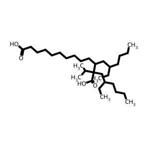 CCCCC(CC)CC(CCCCCCCCCC(=O)O)C(CC(CC)CCCC)(C(=O)O)C(C)C